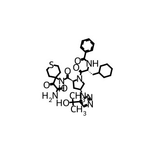 CC(C)(O)c1cnnn1[C@H]1C[C@@H](C(=O)NC2(C(=O)C(N)=O)CCSCC2)N(C(=O)[C@@H](CC2CCCCC2)NC(=O)c2ccccc2)C1